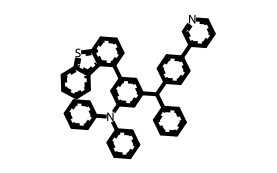 c1ccc(C(c2ccc(-c3cccnc3)cc2)c2cc(-c3cccc4sc5ccccc5c34)cc(N(c3ccccc3)c3ccccc3)c2)cc1